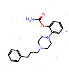 NC(=O)Oc1ccccc1N1CCN(C[CH]Cc2ccccc2)CC1